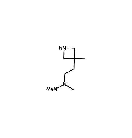 CNN(C)CCC1(C)CNC1